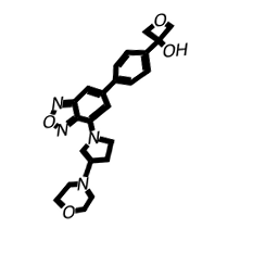 OC1(c2ccc(-c3cc(N4CCC(N5CCOCC5)C4)c4nonc4c3)cc2)COC1